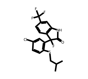 CC(C)CSc1ccc(Cl)cc1C1(F)C(=O)Nc2cc(C(F)(F)F)ccc21